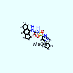 COC1(c2cc(S(=O)(=O)NC(=O)Nc3c4c(cc5c3CCC5)CCC4)nn2C)CCCC1